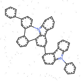 c1ccc(-c2ccc3c(c2)-c2ccccc2-c2cc(-c4cccc5c4c4ccccc4n5-c4ccccc4)cc4c5ccccc5n-3c24)cc1